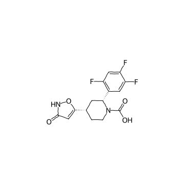 O=C(O)N1CC[C@H](c2cc(=O)[nH]o2)C[C@@H]1c1cc(F)c(F)cc1F